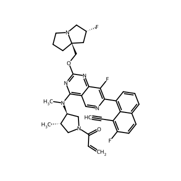 C#Cc1c(F)ccc2cccc(-c3ncc4c(N(C)[C@H]5CN(C(=O)C=C)C[C@@H]5C)nc(OC[C@@]56CCCN5C[C@H](F)C6)nc4c3F)c12